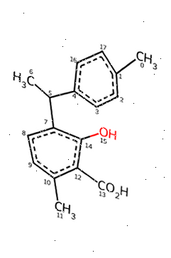 Cc1ccc(C(C)c2ccc(C)c(C(=O)O)c2O)cc1